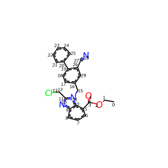 CCOC(=O)c1cccc2nc(CCl)n(Cc3ccc(-c4ccccc4)c(C#N)c3)c12